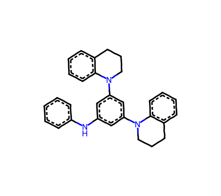 c1ccc(Nc2cc(N3CCCc4ccccc43)cc(N3CCCc4ccccc43)c2)cc1